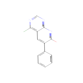 Oc1nc2ncnc(Cl)c2cc1-c1ccccc1